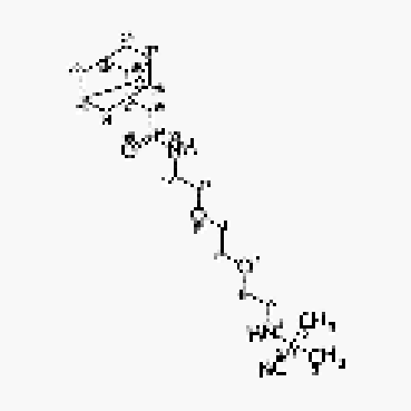 CC(C)(C#N)NCCOCCOCCNC(=O)CC12CC3CC(CC(C3)C1)C2